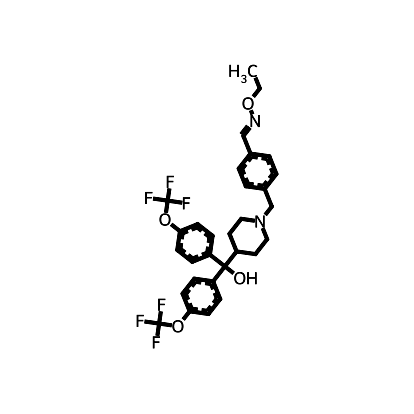 CCON=Cc1ccc(CN2CCC(C(O)(c3ccc(OC(F)(F)F)cc3)c3ccc(OC(F)(F)F)cc3)CC2)cc1